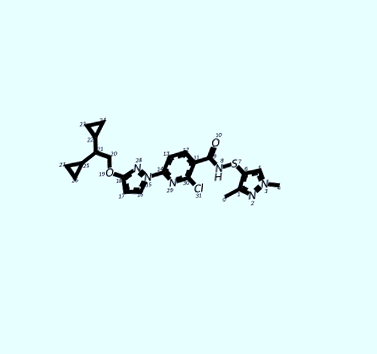 Cc1nn(C)cc1SNC(=O)c1ccc(-n2ccc(OCC(C3CC3)C3CC3)n2)nc1Cl